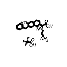 NCCCn1nc2c(c1C(=O)O)CCc1cc(O)c(Cc3ccccc3)cc1-2.O=C(O)C(F)(F)F